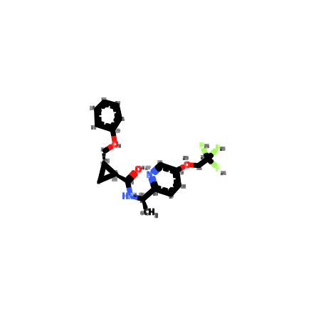 C[C@@H](NC(=O)[C@H]1C[C@@H]1COc1ccccc1)c1ccc(OCC(F)(F)F)cn1